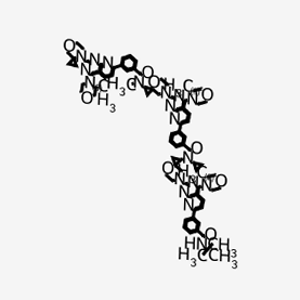 C[C@H]1COCCN1c1nc(N2CCOC3(CC3N(C)C(=O)c3cccc(-c4ccc5c(N6CCOC[C@@H]6C)nc(N6CCOCC67CC7)nc5n4)c3)C2)nc2nc(-c3cccc(C(=O)N(C4CC4)C4CC45CN(c4nc(N6CCOC[C@@H]6C)c6ccc(-c7cccc(C(=O)NC(C)(C)C)c7)nc6n4)CCO5)c3)ccc12